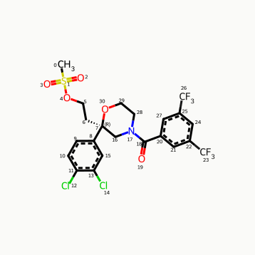 CS(=O)(=O)OCC[C@@]1(c2ccc(Cl)c(Cl)c2)CN(C(=O)c2cc(C(F)(F)F)cc(C(F)(F)F)c2)CCO1